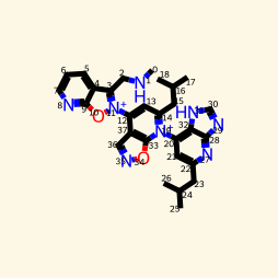 CNCc1c2cccnc2o[n+]1-c1cc(CC(C)C)[n+](-c2cc(CC(C)C)nc3nc[nH]c23)c2oncc12